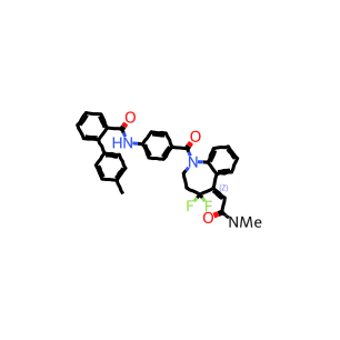 CNC(=O)/C=C1/c2ccccc2N(C(=O)c2ccc(NC(=O)c3ccccc3-c3ccc(C)cc3)cc2)CCC1(F)F